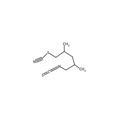 CC(CN=C=S)CC(C)CSC#N